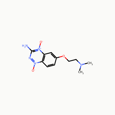 CN(C)CCOc1ccc2c(c1)[n+]([O-])c(N)n[n+]2[O-]